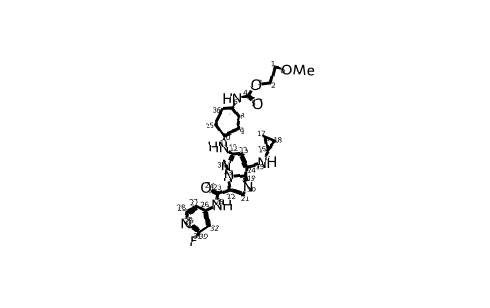 COCCOC(=O)N[C@H]1CC[C@H](Nc2cc(NC3CC3)c3ncc(C(=O)Nc4ccnc(F)c4)n3n2)CC1